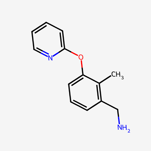 Cc1c(CN)cccc1Oc1ccccn1